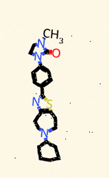 CN1CCN(c2ccc(-c3nc4c(s3)CCN(C3CCCCC3)CC4)cc2)C1=O